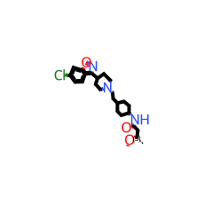 CO[C@@H](C)CC(=O)NC1CCC(CCN2CCC(c3noc4cc(Cl)ccc34)CC2)CC1